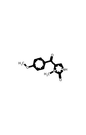 COc1ccc(C(=O)c2c[nH]c(=O)n2C)cc1